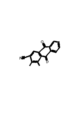 Cc1c(C#N)cc2c(c1C)C(=O)c1ccccc1C2=O